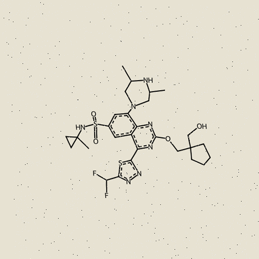 CC1CN(c2cc(S(=O)(=O)NC3(C)CC3)cc3c(-c4nnc(C(F)F)s4)nc(OCC4(CO)CCCC4)nc23)CC(C)N1